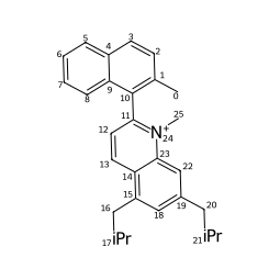 Cc1ccc2ccccc2c1-c1ccc2c(CC(C)C)cc(CC(C)C)cc2[n+]1C